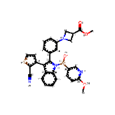 COC(=O)C1CN(c2cccc(-c3c(-c4ccsc4C#N)c4ccccc4n3[S+]([O-])c3ccc(OC)nc3)c2)C1